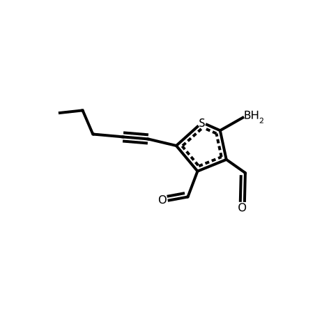 Bc1sc(C#CCCC)c(C=O)c1C=O